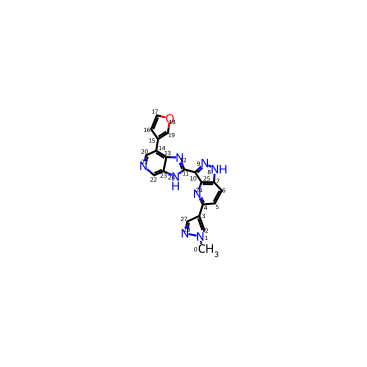 Cn1cc(-c2ccc3[nH]nc(-c4nc5c(-c6ccoc6)cncc5[nH]4)c3n2)cn1